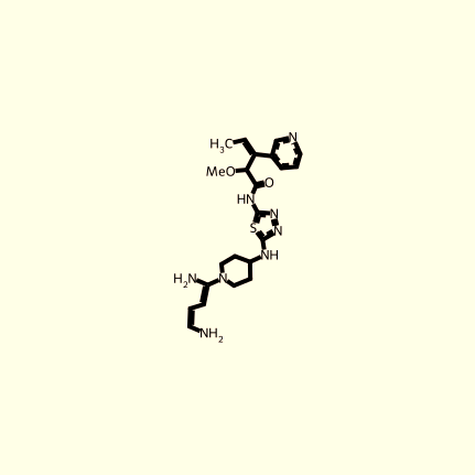 C/C=C(/c1cccnc1)C(OC)C(=O)Nc1nnc(NC2CCN(/C(N)=C/C=C\N)CC2)s1